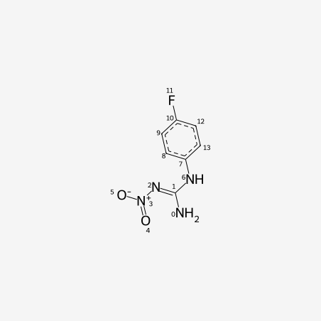 NC(=N[N+](=O)[O-])Nc1ccc(F)cc1